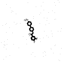 CCCC1CCC(C2CCC(CC(=O)c3ccc(F)c(F)c3)CC2)CC1